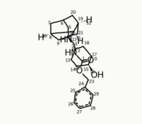 O=C(NCC12CC3C[C@H](C1)[C@H](N[C@H]1CC[C@H](O)CC1)[C@@H](C3)C2)OCc1ccccc1